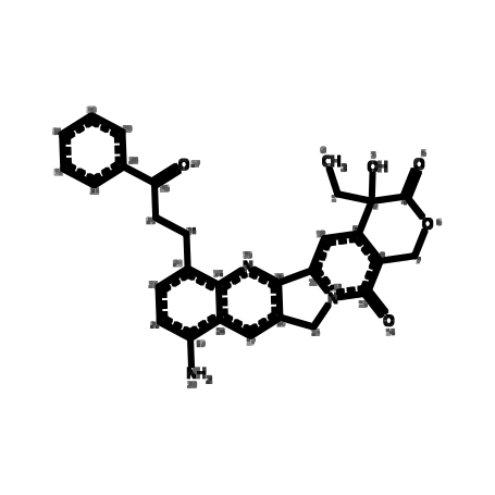 CCC1(O)C(=O)OCc2c1cc1n(c2=O)Cc2cc3c(N)ccc(CCC(=O)c4ccccc4)c3nc2-1